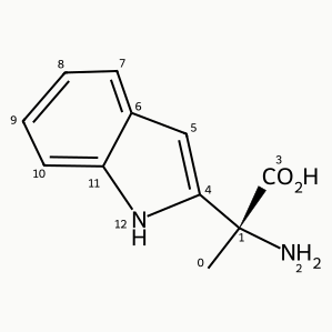 C[C@](N)(C(=O)O)c1cc2ccccc2[nH]1